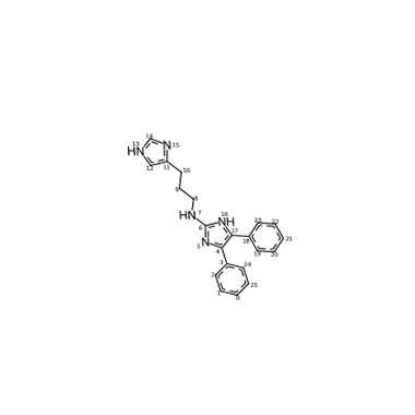 c1ccc(-c2nc(NCCCc3c[nH]cn3)[nH]c2-c2ccccc2)cc1